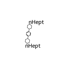 CCCCCCCC1CCC(c2ccc(C3CCC(CCCCCCC)CC3)cc2)CC1